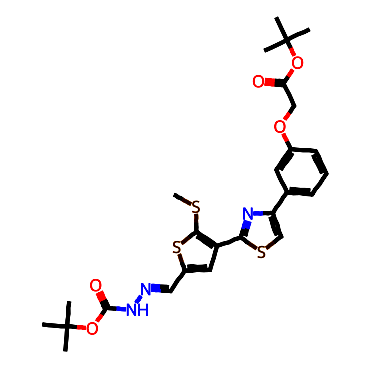 CSc1sc(C=NNC(=O)OC(C)(C)C)cc1-c1nc(-c2cccc(OCC(=O)OC(C)(C)C)c2)cs1